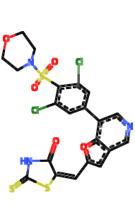 O=C1NC(=S)SC1=Cc1cc2cncc(-c3cc(Cl)c(S(=O)(=O)N4CCOCC4)c(Cl)c3)c2o1